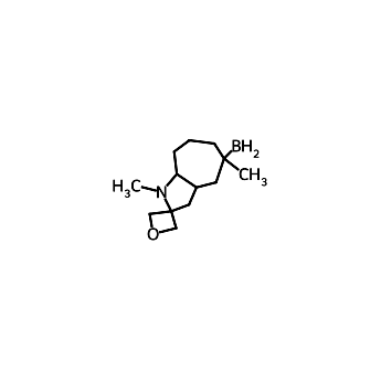 BC1(C)CCCC2C(C1)CC1(COC1)N2C